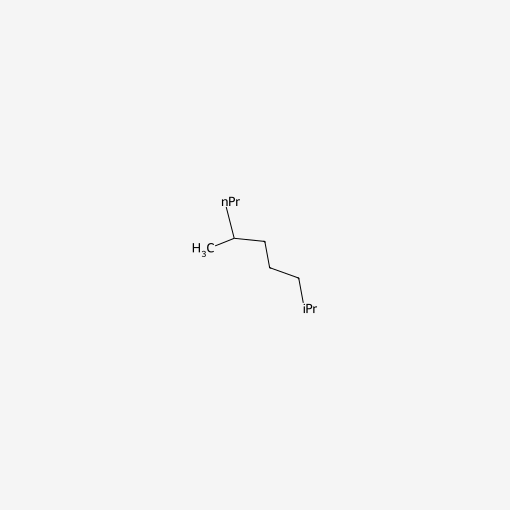 [CH2]CCC(C)CCCC(C)C